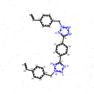 C=Cc1ccc(Cn2nnc(-c3ccc(-c4nnn(Cc5ccc(C=C)cc5)n4)cc3)n2)cc1